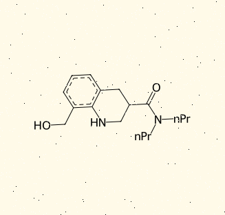 CCCN(CCC)C(=O)C1CNc2c(CO)cccc2C1